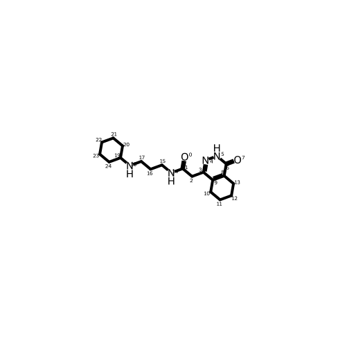 O=C(Cc1n[nH]c(=O)c2c1CCCC2)NCCCNC1CCCCC1